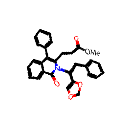 COC(=O)CCc1c(-c2ccccc2)c2ccccc2c(=O)n1C(Cc1ccccc1)C1=COCO1